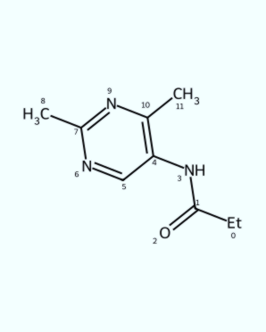 CCC(=O)Nc1cnc(C)nc1C